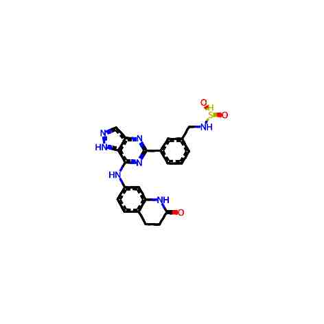 O=C1CCc2ccc(Nc3nc(-c4cccc(CN[SH](=O)=O)c4)nc4cn[nH]c34)cc2N1